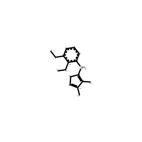 CCc1cccc([SiH2]C2=C(C)C(C)=CC2)c1CC